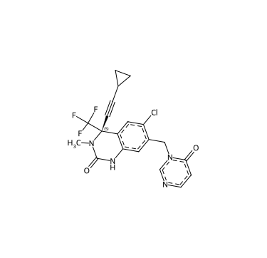 CN1C(=O)Nc2cc(Cn3cnccc3=O)c(Cl)cc2[C@@]1(C#CC1CC1)C(F)(F)F